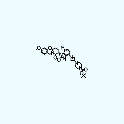 COc1ccc(CN2C(=O)CCC(n3c(=O)n(C)c4c(N5CC(N6CCN(C(=O)OC(C)(C)C)CC6)C5)ccc(F)c43)C2=O)cc1